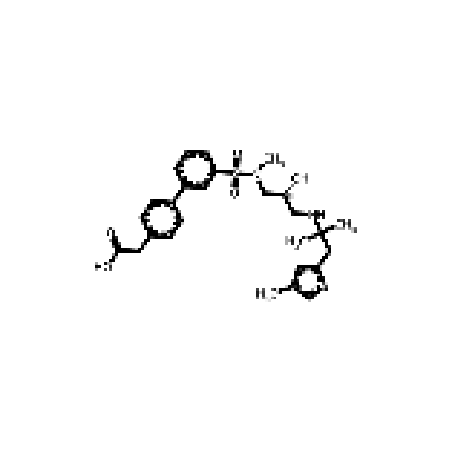 Cc1csc(CC(C)(C)NC[C@@H](O)CN(C)S(=O)(=O)c2cccc(-c3ccc(CC(=O)O)cc3)c2)c1